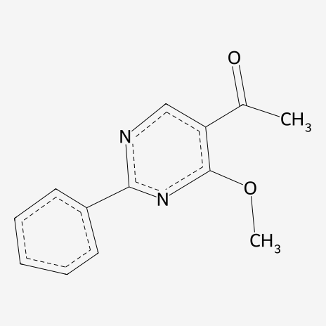 COc1nc(-c2ccccc2)ncc1C(C)=O